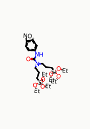 CCO[Si](CCCN(CCC[Si](OCC)(OCC)OCC)C(=O)Nc1ccc([N+](=O)[O-])cc1)(OCC)OCC